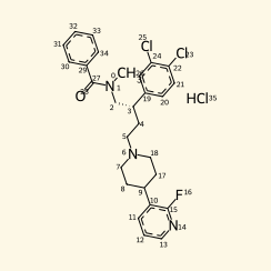 CN(C[C@@H](CCN1CCC(c2cccnc2F)CC1)c1ccc(Cl)c(Cl)c1)C(=O)c1ccccc1.Cl